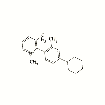 Cc1cc(C2CCCCC2)ccc1-c1c(C)ccc[n+]1C